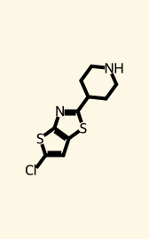 Clc1cc2sc(C3CCNCC3)nc2s1